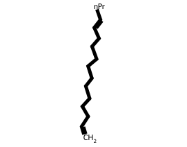 C=CCCCCCCCCCC=CCCC